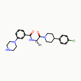 CC(C)[C@@H](NC(=O)c1cccc(N2CCNCC2)c1)C(=O)N1CCC(c2ccc(Cl)cc2)CC1